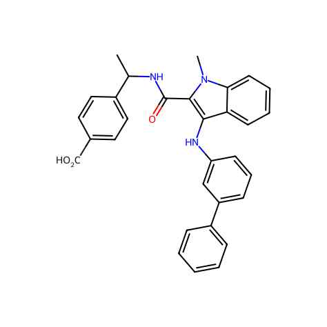 CC(NC(=O)c1c(Nc2cccc(-c3ccccc3)c2)c2ccccc2n1C)c1ccc(C(=O)O)cc1